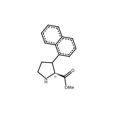 COC(=O)[C@H]1NCCC1c1cccc2ccccc12